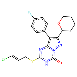 O=c1[nH]c(SC/C=C/Cl)nc2c(-c3ccc(F)cc3)c(C3CCCCO3)nn12